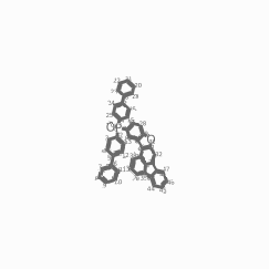 O=P(c1ccc(-c2ccccc2)cc1)(c1ccc(-c2ccccc2)cc1)c1ccc2oc3cc4c5c(cccc5c3c2c1)-c1ccccc1-4